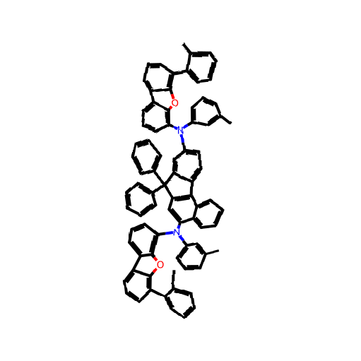 Cc1cccc(N(c2ccc3c(c2)C(c2ccccc2)(c2ccccc2)c2cc(N(c4cccc(C)c4)c4cccc5c4oc4c(-c6ccccc6C)cccc45)c4ccccc4c2-3)c2cccc3c2oc2c(-c4ccccc4C)cccc23)c1